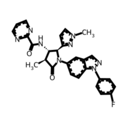 C[C@@H]1C(=O)N(c2ccc3c(cnn3-c3ccc(F)cc3)c2)[C@H](c2ccn(C)n2)[C@H]1NC(=O)c1ncccn1